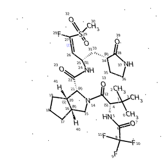 CC(C)(C)[C@H](NC(=O)C(F)(F)F)C(=O)N1C[C@@H]2CCC[C@@H]2[C@@H]1C(=O)N[C@H](/C=C(/F)S(C)(=O)=O)C[C@H]1CCNC1=O